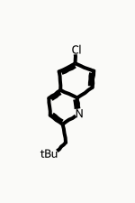 CC(C)(C)Cc1ccc2cc(Cl)ccc2n1